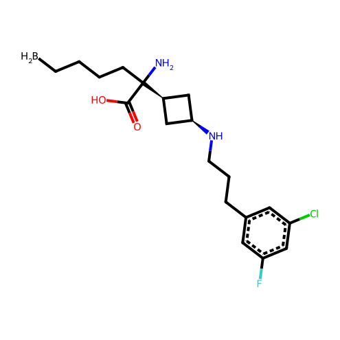 BCCCCC(N)(C(=O)O)[C@H]1C[C@@H](NCCCc2cc(F)cc(Cl)c2)C1